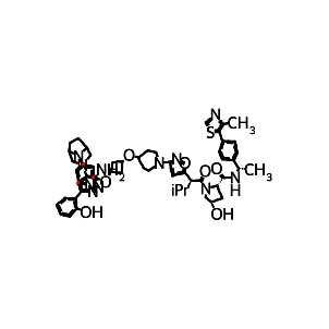 Cc1ncsc1-c1ccc([C@H](C)NC(=O)[C@@H]2C[C@@H](O)CN2C(=O)[C@H](c2cc(N3CCC(O[C@H]4C[C@H](Oc5cc(N6C7CCC6CN(c6cc(-c8ccccc8O)nnc6N)C7)ccn5)C4)CC3)no2)C(C)C)cc1